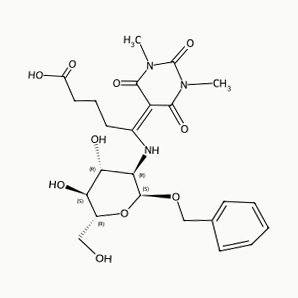 CN1C(=O)C(=C(CCCC(=O)O)N[C@H]2[C@@H](OCc3ccccc3)O[C@H](CO)[C@@H](O)[C@@H]2O)C(=O)N(C)C1=O